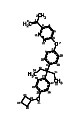 C=C(C)c1ccc(Oc2ccc(C(CC)(CC)c3ccc(OC4CCC4)cc3)cc2)nn1